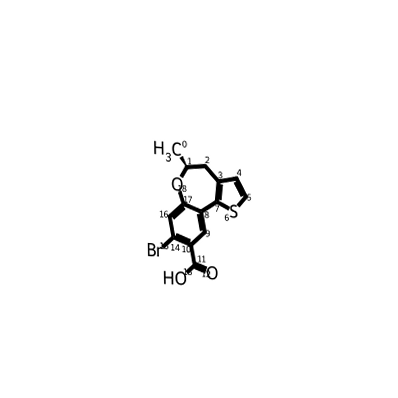 C[C@H]1Cc2ccsc2-c2cc(C(=O)O)c(Br)cc2O1